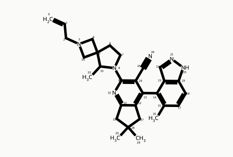 C=CCN1CC2(CCN(c3nc4c(c(-c5c(C)ccc6[nH]ncc56)c3C#N)CC(C)(C)C4)C2C)C1